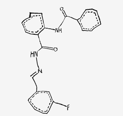 O=C(Nc1ccccc1C(=O)NN=Cc1cccc(F)c1)c1ccccc1